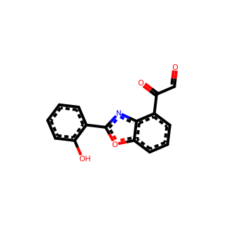 O=CC(=O)c1cccc2oc(-c3ccccc3O)nc12